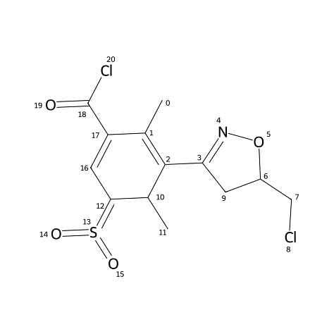 CC1=C(C2=NOC(CCl)C2)C(C)C(=S(=O)=O)C=C1C(=O)Cl